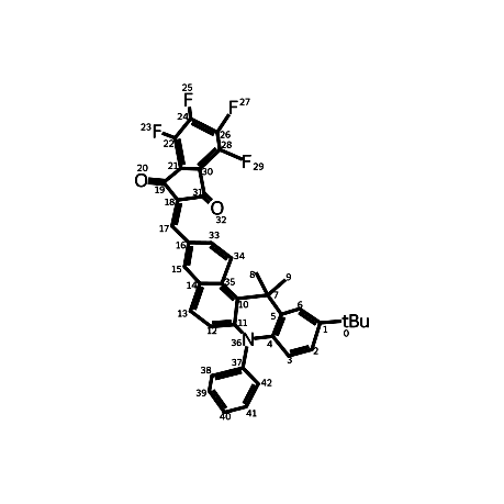 CC(C)(C)c1ccc2c(c1)C(C)(C)c1c(ccc3cc(C=C4C(=O)c5c(F)c(F)c(F)c(F)c5C4=O)ccc13)N2c1ccccc1